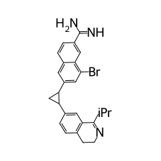 CC(C)C1=NCCc2ccc(C3CC3c3cc(Br)c4cc(C(=N)N)ccc4c3)cc21